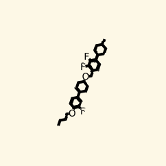 CCCCOc1ccc(C2CCC(OCc3ccc(C4CCC(C)CC4)c(F)c3F)CC2)cc1F